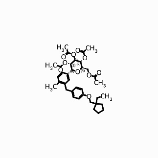 CCC1(COc2ccc(Cc3cc([C@H]4O[C@H](COC(C)=O)[C@@H](OC(C)=O)[C@H](OC(C)=O)[C@H]4OC(C)=O)ccc3C)cc2)CCCC1